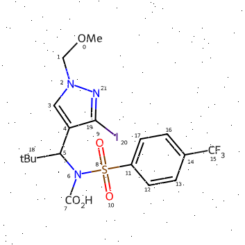 COCn1cc(C(N(C(=O)O)S(=O)(=O)c2ccc(C(F)(F)F)cc2)C(C)(C)C)c(I)n1